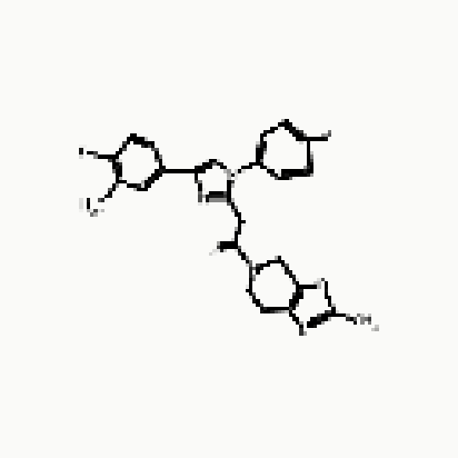 Cc1nc2c(o1)CN(C(=O)Cc1nc(-c3ccc(F)c(C)c3)cn1-c1ccc(F)cc1)CC2